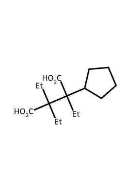 CCC(CC)(C(=O)O)C(CC)(C(=O)O)C1CCCC1